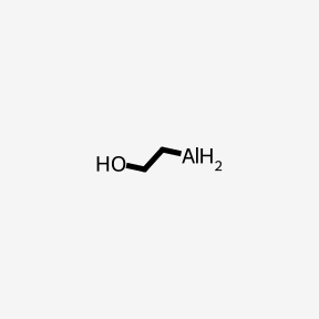 OC[CH2][AlH2]